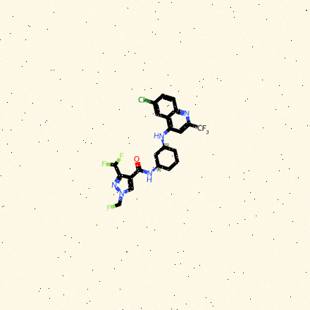 O=C(N[C@@H]1CCC[C@H](Nc2cc(C(F)(F)F)nc3ccc(Cl)cc23)C1)c1cn(CF)nc1C(F)F